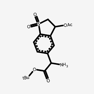 CC(=O)OC1CS(=O)(=O)c2ccc(C(N)C(=O)OC(C)(C)C)cc21